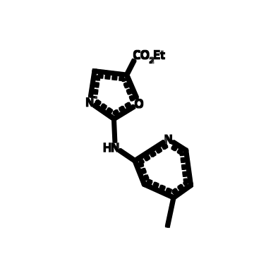 CCOC(=O)c1cnc(Nc2cc(C)ccn2)o1